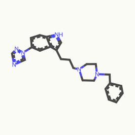 c1ccc(CN2CCN(CCCc3c[nH]c4ccc(-n5cncn5)cc34)CC2)cc1